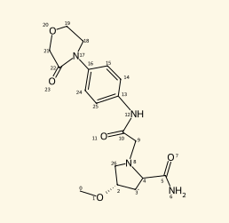 CO[C@H]1[CH]C(C(N)=O)N(CC(=O)Nc2ccc(N3CCOCC3=O)cc2)C1